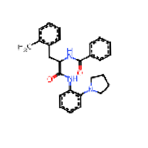 Cc1ccccc1CC(NC(=O)c1ccccc1)C(=O)Nc1ccccc1N1CCCC1